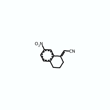 N#CC=C1CCCc2ccc([N+](=O)[O-])cc21